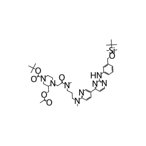 CC(=O)OCC1CN(C(=O)OC(C)(C)C)CCN1CC(=O)N(C)CCCN(C)c1ccc(-c2ccnc(Nc3cccc(CO[Si](C)(C)C(C)(C)C)c3)n2)cn1